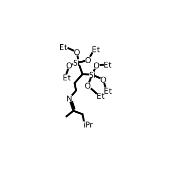 CCO[Si](OCC)(OCC)C(CCN=C(C)CC(C)C)[Si](OCC)(OCC)OCC